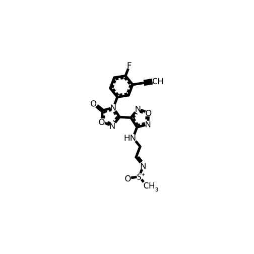 C#Cc1cc(-n2c(-c3nonc3NCC=N[S+](C)[O-])noc2=O)ccc1F